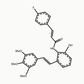 COc1cc(/C=C/c2cccc(O)c2NC(=O)/C=C/c2ccc(F)cc2)cc(OC)c1OC